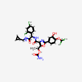 C[C@H](OC(N)=O)c1oc(-c2ccc(OC(F)F)c(O)c2)nc1C(=O)NC(C(=O)NCC1CC1)c1ccc(F)cc1F